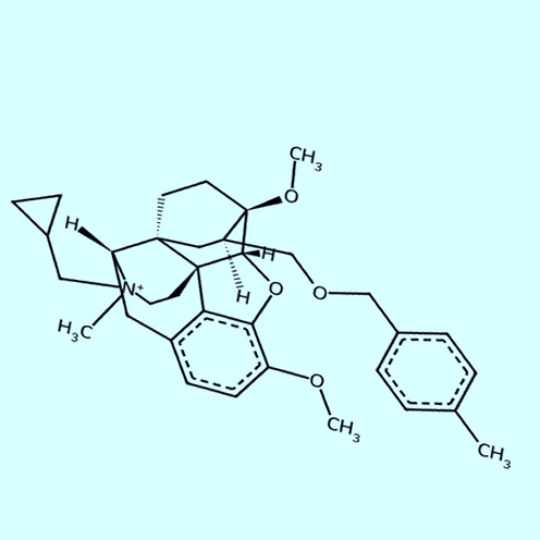 COc1ccc2c3c1O[C@H]1[C@@]4(OC)CC[C@@]5(C[C@@H]4COCc4ccc(C)cc4)[C@@H](C2)[N+](C)(CC2CC2)CC[C@]315